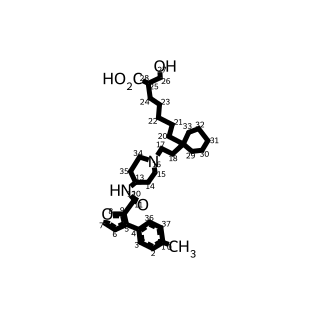 Cc1ccc(-c2ccoc2C(=O)NC2CCN(CCC3(CCCCCC(CO)C(=O)O)CCCCC3)CC2)cc1